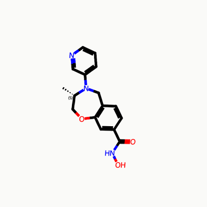 C[C@H]1COc2cc(C(=O)NO)ccc2CN1c1cccnc1